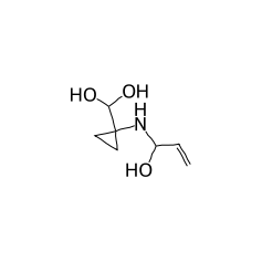 C=CC(O)NC1(C(O)O)CC1